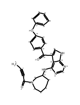 CC#CC(=O)N1CCCCC(Nc2ncnc3[nH]cc(C(=O)c4ccc(Oc5ccccc5)cc4)c23)C1